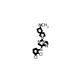 C=NC1CCC2(CCN(c3ncc(Sc4cccc(Cl)c4Cl)c4nccn34)C2)C1